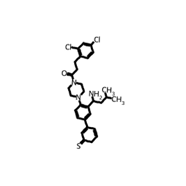 CC(C)CC(N)c1cc(C2=CC(=S)CC=C2)ccc1N1CCN(C(=O)CCc2ccc(Cl)cc2Cl)CC1